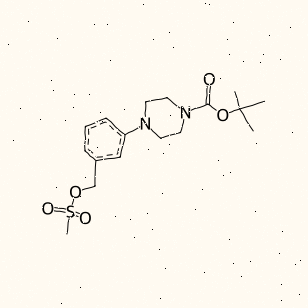 CC(C)(C)OC(=O)N1CCN(c2cccc(COS(C)(=O)=O)c2)CC1